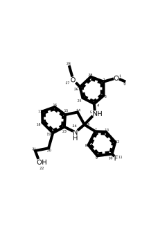 COc1cc(NC2(c3ccc(F)cc3)[CH]c3cccc(CCO)c3N2)cc(OC)c1